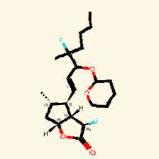 CCCCC(C)(F)C(/C=C/[C@H]1[C@H]2[C@@H](C[C@@H]1C)OC(=O)[C@@H]2F)OC1CCCCO1